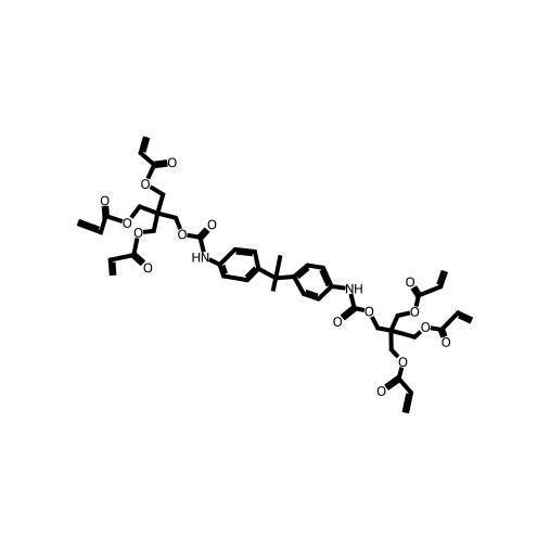 C=CC(=O)OCC(COC(=O)C=C)(COC(=O)C=C)COC(=O)Nc1ccc(C(C)(C)c2ccc(NC(=O)OCC(COC(=O)C=C)(COC(=O)C=C)COC(=O)C=C)cc2)cc1